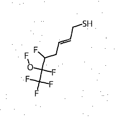 FOC(F)(C(F)CC=CCS)C(F)(F)F